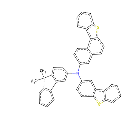 CC1(C)c2ccccc2-c2cc(N(c3ccc4c(ccc5sc6ccccc6c54)c3)c3ccc4sc5ccccc5c4c3)ccc21